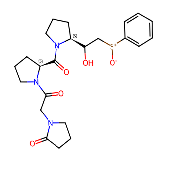 O=C1CCCN1CC(=O)N1CCC[C@H]1C(=O)N1CCC[C@H]1C(O)C[S+]([O-])c1ccccc1